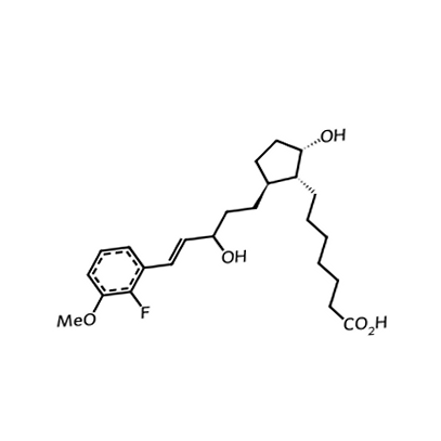 COc1cccc(/C=C/C(O)CC[C@H]2CC[C@H](O)[C@@H]2CCCCCCC(=O)O)c1F